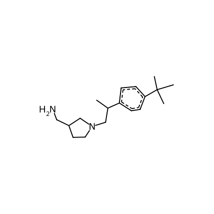 CC(CN1CCC(CN)C1)c1ccc(C(C)(C)C)cc1